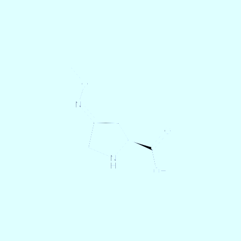 CON=C1CN[C@H](C(=O)O)C1